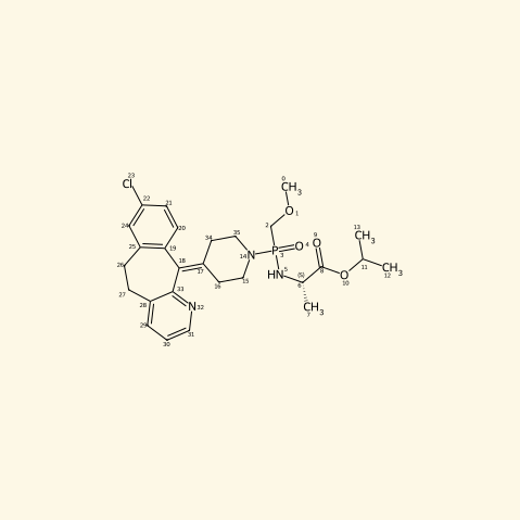 COCP(=O)(N[C@@H](C)C(=O)OC(C)C)N1CCC(=C2c3ccc(Cl)cc3CCc3cccnc32)CC1